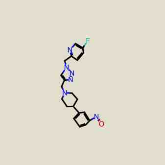 O=Nc1cccc(C2CCN(Cc3cn(Cc4ccc(F)cn4)nn3)CC2)c1